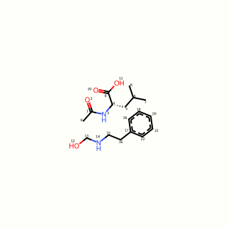 CC(=O)N[C@@H](CC(C)C)C(=O)O.OCNCCc1ccccc1